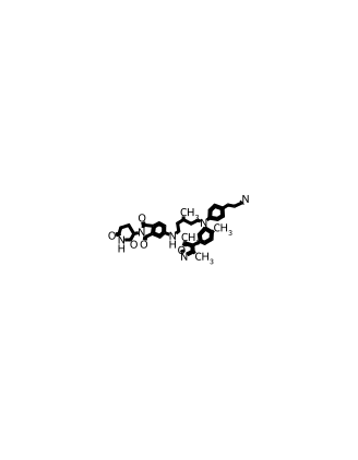 Cc1ccc(-c2c(C)noc2C)cc1N(CCC(C)CCNc1ccc2c(c1)C(=O)N(C1CCC(=O)NC1=O)C2=O)c1ccc(CCC#N)cc1